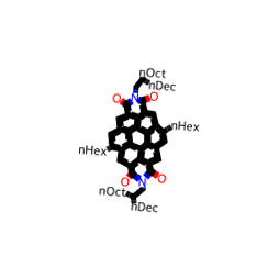 CCCCCCCCCCC(CCCCCCCC)Cn1c(=O)c2cc3cc(CCCCCC)c4cc5c(=O)n(CC(CCCCCCCC)CCCCCCCCCC)c(=O)c6cc7cc(CCCCCC)c8cc(c1=O)c2c1c3c4c(c65)c7c81